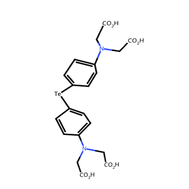 O=C(O)CN(CC(=O)O)c1ccc([Te]c2ccc(N(CC(=O)O)CC(=O)O)cc2)cc1